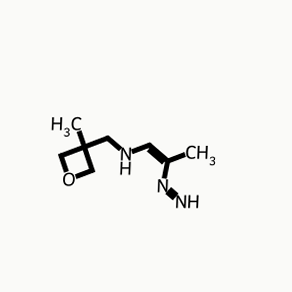 C/C(=C/NCC1(C)COC1)N=N